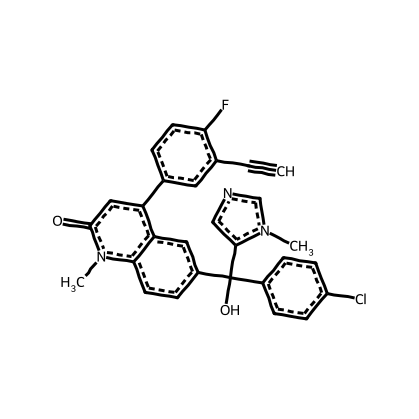 C#Cc1cc(-c2cc(=O)n(C)c3ccc(C(O)(c4ccc(Cl)cc4)c4cncn4C)cc23)ccc1F